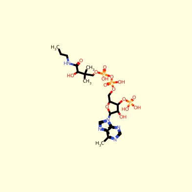 CCCNC(=O)C(O)C(C)(C)COP(=O)(O)OP(=O)(O)OCC1OC(n2cnc3c(C)ncnc32)C(O)C1OP(=O)(O)O